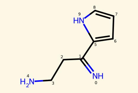 N=C(CCN)c1ccc[nH]1